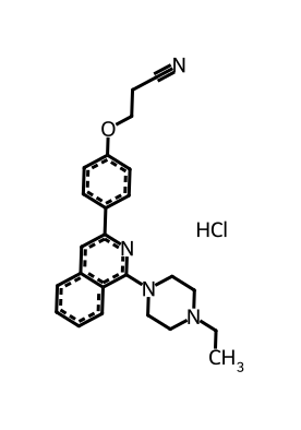 CCN1CCN(c2nc(-c3ccc(OCCC#N)cc3)cc3ccccc23)CC1.Cl